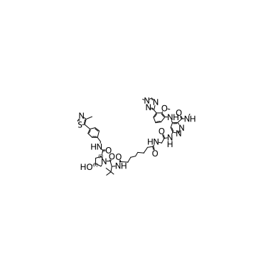 CNC(=O)c1nnc(NC(=O)CNC(=O)CCCCCCC(=O)NC(C(=O)N2C[C@H](O)C[C@H]2C(=O)NCc2ccc(-c3scnc3C)cc2)C(C)(C)C)cc1Nc1cccc(-c2ncn(C)n2)c1OC